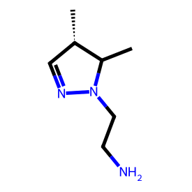 CC1[C@@H](C)C=NN1CCN